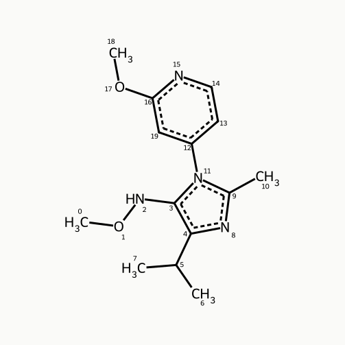 CONc1c(C(C)C)nc(C)n1-c1ccnc(OC)c1